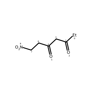 CCC(=O)CC(=O)CC[N+](=O)[O-]